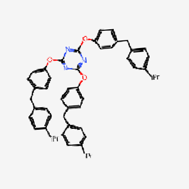 CC(C)c1ccc(Cc2ccc(Oc3nc(Oc4ccc(Cc5ccc(C(C)C)cc5)cc4)nc(Oc4ccc(Cc5ccc(C(C)C)cc5)cc4)n3)cc2)cc1